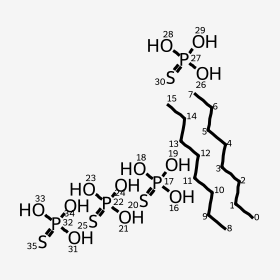 CCCCCCCC.CCCCCCCC.OP(O)(O)=S.OP(O)(O)=S.OP(O)(O)=S.OP(O)(O)=S